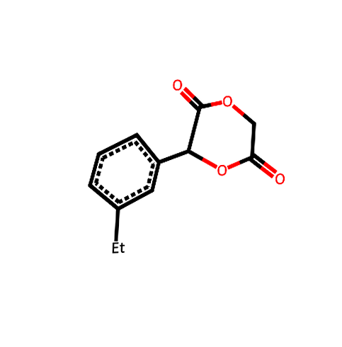 CCc1cccc(C2OC(=O)COC2=O)c1